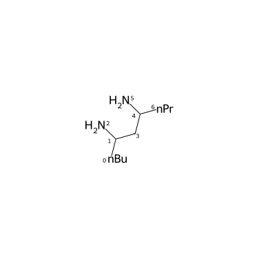 CCCCC(N)CC(N)CCC